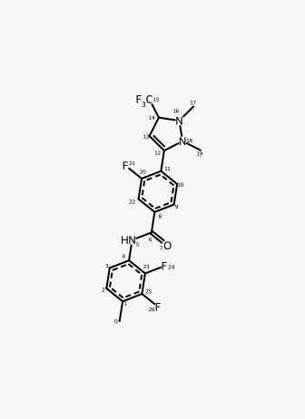 Cc1ccc(NC(=O)c2ccc(C3=CC(C(F)(F)F)N(C)N3C)c(F)c2)c(F)c1F